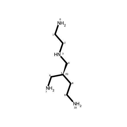 NCCNC[C@H](CN)CCN